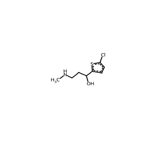 CNCCC(O)c1ccc(Cl)s1